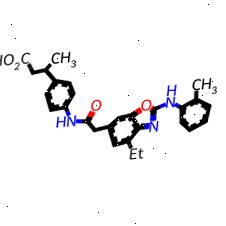 CCc1cc(CC(=O)Nc2ccc(C(C)CC(=O)O)cc2)cc2oc(Nc3ccccc3C)nc12